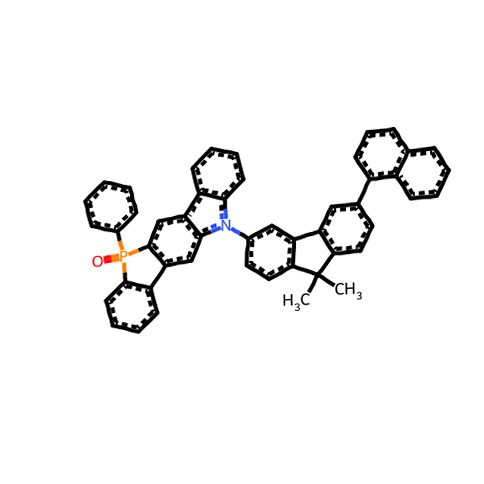 CC1(C)c2ccc(-c3cccc4ccccc34)cc2-c2cc(-n3c4ccccc4c4cc5c(cc43)-c3ccccc3P5(=O)c3ccccc3)ccc21